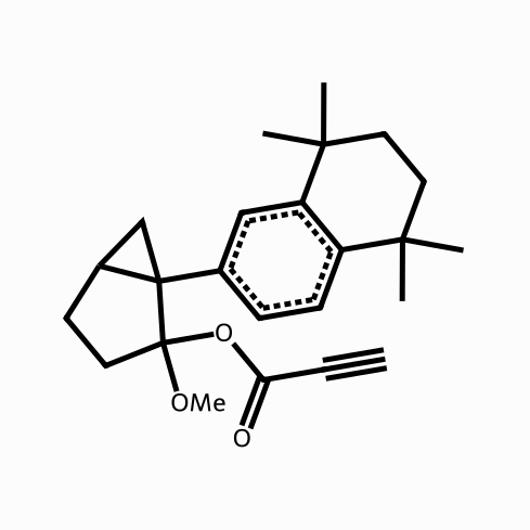 C#CC(=O)OC1(OC)CCC2CC21c1ccc2c(c1)C(C)(C)CCC2(C)C